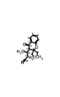 CCC1(CC)Oc2ccccc2C(=O)C1C(C)CC#N